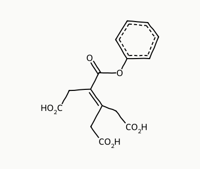 O=C(O)CC(CC(=O)O)=C(CC(=O)O)C(=O)Oc1ccccc1